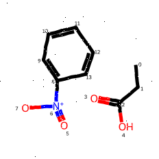 CCC(=O)O.O=[N+]([O-])c1ccccc1